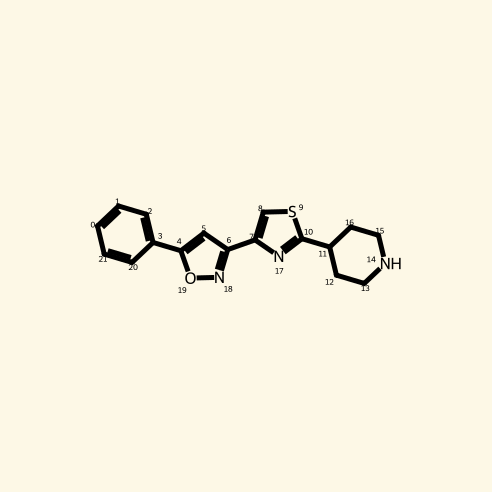 c1ccc(-c2cc(-c3csc(C4CCNCC4)n3)no2)cc1